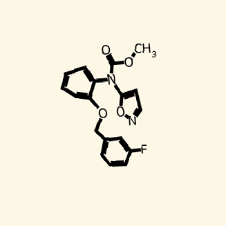 COC(=O)N(c1ccno1)c1ccccc1OCc1cccc(F)c1